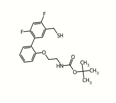 CC(C)(C)OC(=O)NCCOc1ccccc1-c1cc(CS)c(F)cc1F